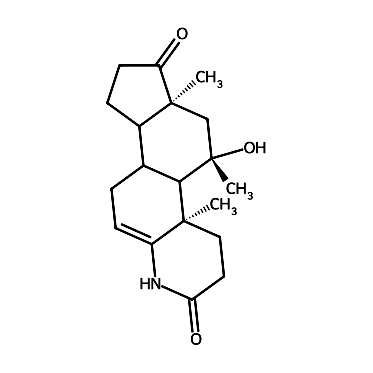 C[C@]1(O)C[C@]2(C)C(=O)CCC2C2CC=C3NC(=O)CC[C@]3(C)C21